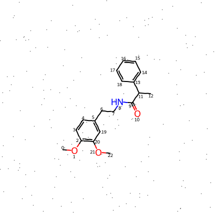 COc1ccc(CCNC(=O)C(C)c2ccccc2)cc1OC